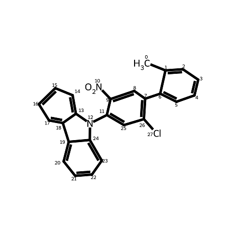 Cc1ccccc1-c1cc([N+](=O)[O-])c(-n2c3ccccc3c3ccccc32)cc1Cl